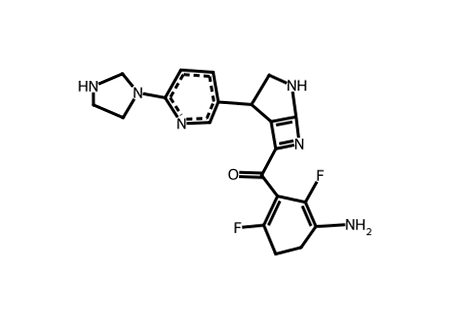 NC1=C(F)C(C(=O)C2=NC3=C2C(c2ccc(N4CCNC4)nc2)CN3)=C(F)CC1